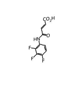 O=C(O)C=CC(=O)Nc1ccc(F)c(F)c1F